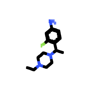 CCN1CCN(C(C)c2ccc(N)cc2F)CC1